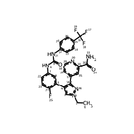 CCn1cc(-c2cc(NC(=O)Nc3ccc(C(F)(F)F)cc3)ccc2F)c(-c2ccnc(C(N)=O)c2)n1